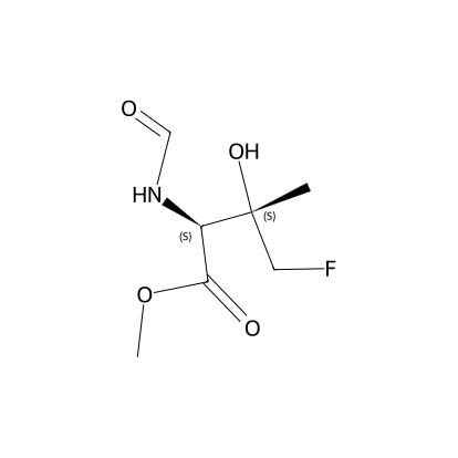 COC(=O)[C@@H](NC=O)[C@](C)(O)CF